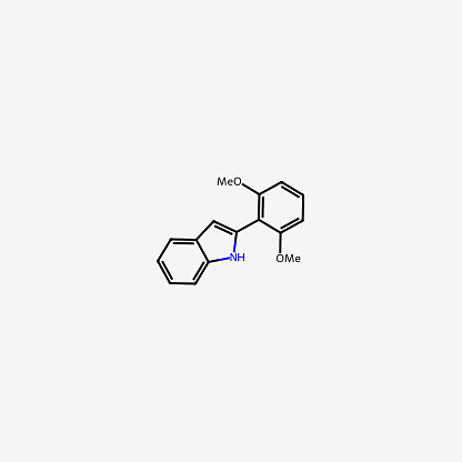 COc1cccc(OC)c1-c1cc2ccccc2[nH]1